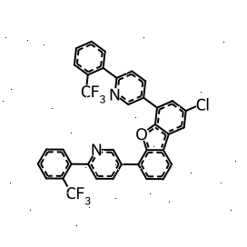 FC(F)(F)c1ccccc1-c1ccc(-c2cccc3c2oc2c(-c4ccc(-c5ccccc5C(F)(F)F)nc4)cc(Cl)cc23)cn1